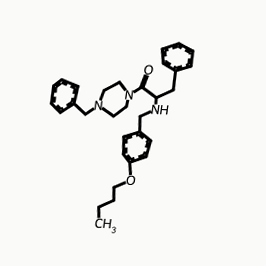 CCCCOc1ccc(CNC(Cc2ccccc2)C(=O)N2CCN(Cc3ccccc3)CC2)cc1